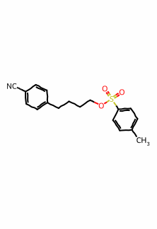 Cc1ccc(S(=O)(=O)OCCCCc2ccc(C#N)cc2)cc1